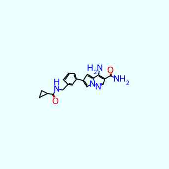 NC(=O)c1cnn2cc(-c3cccc(CNC(=O)C4CC4)c3)cc2c1N